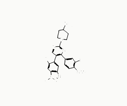 CNc1ccc(-c2nc(N3CCC(N)CC3)ncc2-c2cc3nnn(C)c3cc2F)cc1F